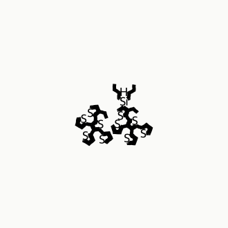 CCCC[SiH](CCCC)c1csc(-c2sc(-c3cccs3)c(-c3cccs3)c2-c2cccs2)c1CC.CCc1ccsc1-c1sc(-c2cccs2)c(-c2cccs2)c1-c1cccs1